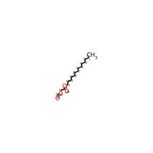 CCCCCCCCCCCCCCOC(=O)COC=O